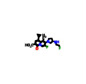 Cc1c(N2CC[C@@H](NCCF)C2)c(F)cn2c(=O)c(C(=O)O)cc(C3CC3)c12